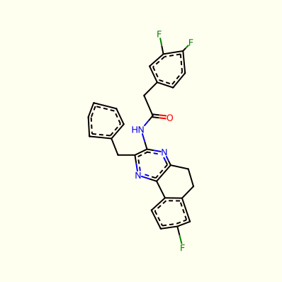 O=C(Cc1ccc(F)c(F)c1)Nc1nc2c(nc1Cc1ccccc1)-c1ccc(F)cc1CC2